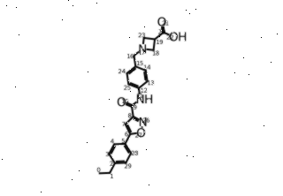 CCc1ccc(-c2cc(C(=O)Nc3ccc(CN4CC(C(=O)O)C4)cc3)no2)cc1